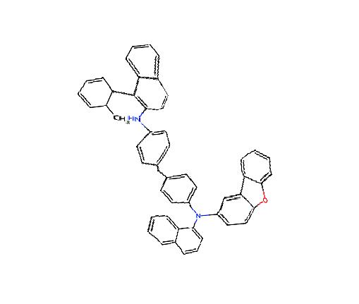 CC1C=CC=CC1c1c(Nc2ccc(-c3ccc(N(c4ccc5oc6ccccc6c5c4)c4cccc5ccccc45)cc3)cc2)ccc2ccccc12